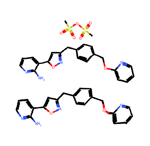 CS(=O)(=O)OS(C)(=O)=O.Nc1ncccc1-c1cc(Cc2ccc(COc3ccccn3)cc2)no1.Nc1ncccc1-c1cc(Cc2ccc(COc3ccccn3)cc2)no1